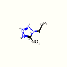 CC(C)Cn1nnnc1[N+](=O)[O-]